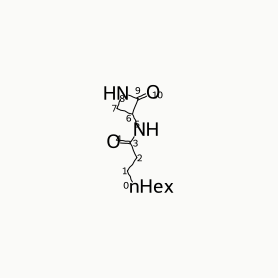 CCCCCCCCC(=O)NC1CNC1=O